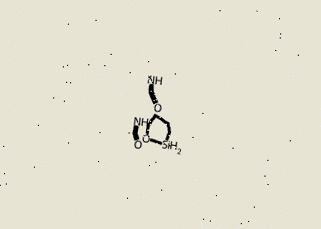 C1CC[SiH2]OC1.N=C=O.N=C=O